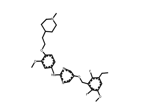 CCc1cc(OC)c(F)c(COc2cnc(Nc3ccc(OCCC4CCN(C)CC4)c(OC)c3)nc2)c1F